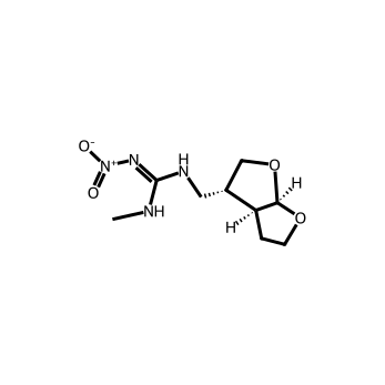 CN/C(=N\[N+](=O)[O-])NC[C@@H]1CO[C@H]2OCC[C@@H]12